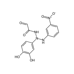 O=CC(=O)NN(Nc1cccc([N+](=O)[O-])c1)c1ccc(O)c(O)c1